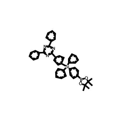 CC1(C)OB(c2ccc([Si](c3ccccc3)(c3ccccc3)c3ccc(-c4nc(-c5ccccc5)nc(-c5ccccc5)n4)cc3)cc2)OC1(C)C